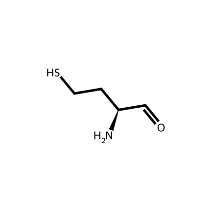 N[C@H](C=O)CCS